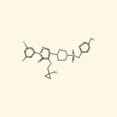 Nc1ccc(CS(=O)(=O)N2CCN(c3cnn(-c4cc(F)cc(F)c4)c(=O)c3OCC3(N)CC3)CC2)cc1